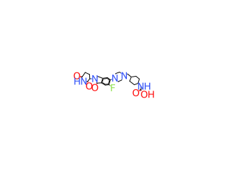 O=C(O)NC1CCC(CN2CCN(c3cc4c(cc3F)C(=O)N(C3CCC(=O)NC3=O)C4)CC2)CC1